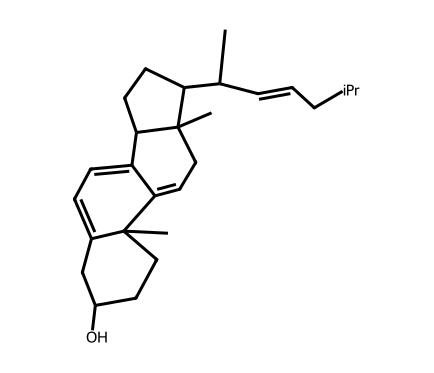 CC(C)C/C=C/C(C)C1CCC2C3=CC=C4CC(O)CCC4(C)C3=CCC21C